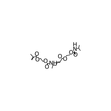 C=C(C)C(=O)OCCOC(=O)NC(C)C/C=C/C(=O)OCCOC(=O)NC(C)C